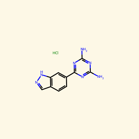 Cl.Nc1nc(N)nc(-c2ccc3cn[nH]c3c2)n1